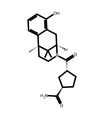 CC1(C)[C@H]2Cc3c(O)cccc3[C@]1(C)CCN2C(=O)[C@@H]1CC[C@@H](C(N)=O)C1